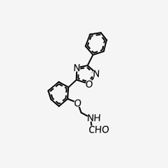 O=CNCOc1ccccc1-c1nc(-c2ccccc2)no1